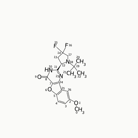 COc1ccc2oc3c(=O)[nH]c([C@H]4CC(F)(F)CN4C(C)(C)C)nc3c2c1